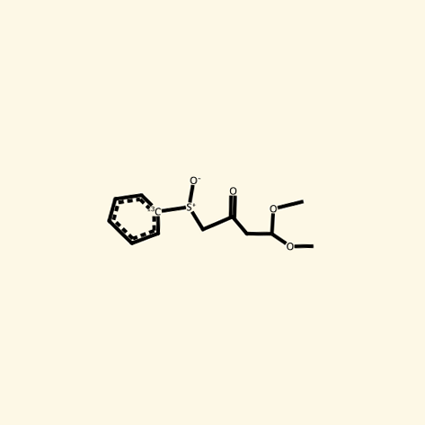 COC(CC(=O)C[S+]([O-])[13c]1ccccc1)OC